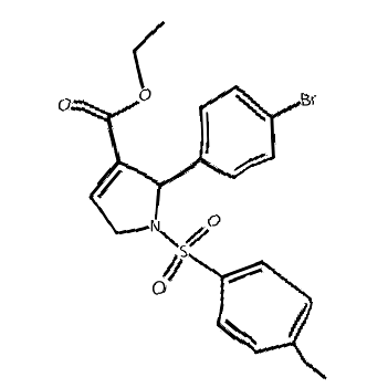 CCOC(=O)C1=CCN(S(=O)(=O)c2ccc(C)cc2)C1c1ccc(Br)cc1